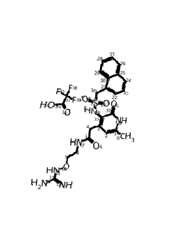 Cc1cc(CC(=O)NCCONC(=N)N)c(NS(=O)(=O)Cc2cccc3ccccc23)c(=O)[nH]1.O=C(O)C(F)(F)F